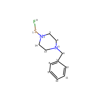 FSN1CCN(Cc2ccccc2)CC1